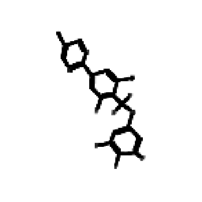 Cc1cnc(-c2cc(F)c(C(F)(F)Oc3cc(F)c(F)c(F)c3)c(F)c2)nc1